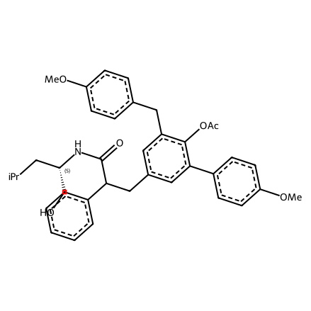 COc1ccc(Cc2cc(CC(C(=O)N[C@H](CO)CC(C)C)c3ccccc3)cc(-c3ccc(OC)cc3)c2OC(C)=O)cc1